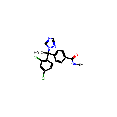 CC(C)[N]C(=O)c1ccc(C(C(=O)O)(c2ccc(Cl)cc2Cl)n2cncn2)cc1